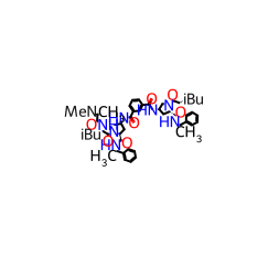 CC[C@@H](C)CC(=O)N1C[C@@H](NC(=O)c2cccc(C(=O)N[C@H]3C[C@@H](C(=O)N[C@H](C)c4ccccc4)N(C(=O)[C@@H](NC(=O)[C@H](C)NC)[C@H](C)CC)C3)c2)C[C@H]1C(=O)N[C@H](C)c1ccccc1